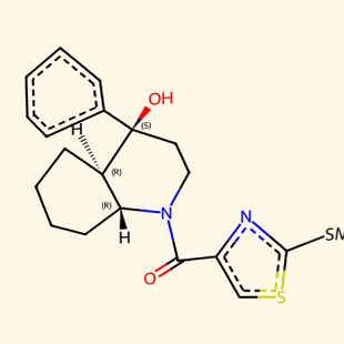 CSc1nc(C(=O)N2CC[C@@](O)(c3ccccc3)[C@@H]3CCCC[C@H]32)cs1